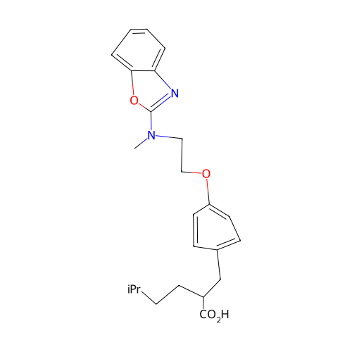 CC(C)CCC(Cc1ccc(OCCN(C)c2nc3ccccc3o2)cc1)C(=O)O